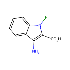 Nc1c(C(=O)O)n(F)c2ccccc12